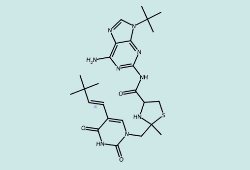 CC(C)(C)/C=C/c1cn(CC2(C)NC(C(=O)Nc3nc(N)c4ncn(C(C)(C)C)c4n3)CS2)c(=O)[nH]c1=O